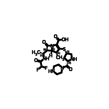 C[C@@H](NC(=O)C(F)F)[C@H]1C(=O)N2C(C(=O)O)=C(S[C@@H]3CN[C@H](C(=O)N4CCNCC4)C3)[C@H](C)[C@H]12